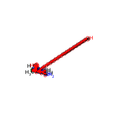 CC[C@@]1(O)C(=O)OCc2c1cc1n(c2=O)Cc2c-1nc1cc(F)c(C)c3c1c2[C@@H](NC(=O)OCc1ccc(NC(=O)[C@H](CCCNC(N)=O)NC(=O)[C@@H](N)C(C)C)cc1CN(C)C(=O)NCCOCCOCCOCCOCCOCCOCCOCCOCCOCCOCCOCCOCCOCCOCCOCCOCCOCCOCCOCCOCCOCCOCCOCCOCCC(=O)O)CC3